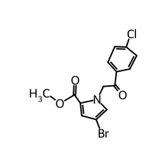 COC(=O)c1cc(Br)cn1CC(=O)c1ccc(Cl)cc1